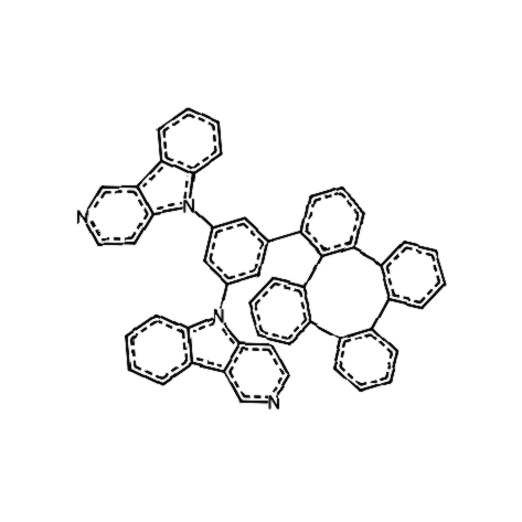 c1ccc2c(c1)-c1ccccc1-c1cccc(-c3cc(-n4c5ccccc5c5cnccc54)cc(-n4c5ccccc5c5cnccc54)c3)c1-c1ccccc1-2